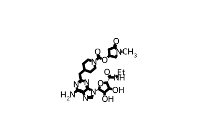 CCNC(=O)[C@H]1O[C@@H](n2cnc3c(N)nc(CC4CCN(C(=O)OC5CC(=O)N(C)C5)CC4)nc32)C(O)C1O